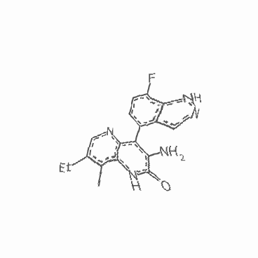 CCc1cnc2c(-c3ccc(F)c4[nH]ncc34)c(N)c(=O)[nH]c2c1C